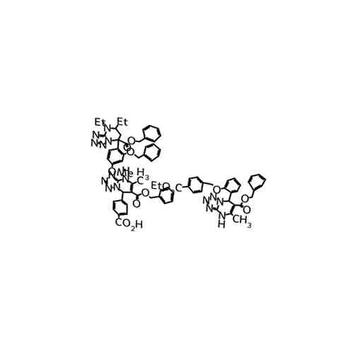 CC1=C(C(=O)OCc2ccccc2)C(c2ccc(C(=O)O)cc2)n2nnnc2N1.CCC1CC(C(=O)OCc2ccccc2)(c2ccc(OC)cc2OCc2ccccc2)n2nnnc2N1CC.CCOC(=O)c1ccc(COc2ccccc2C2C(C(=O)OCc3ccccc3)=C(C)Nc3nnnn32)cc1